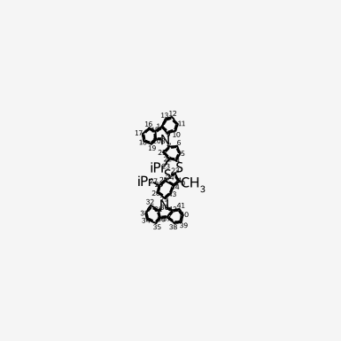 Cc1c(Sc2ccc(-n3c4ccccc4c4ccccc43)cc2C(C)C)sc2c(C(C)C)cc(-n3c4ccccc4c4ccccc43)cc12